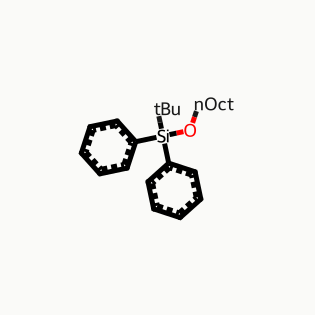 CCCCCCCCO[Si](c1ccccc1)(c1ccccc1)C(C)(C)C